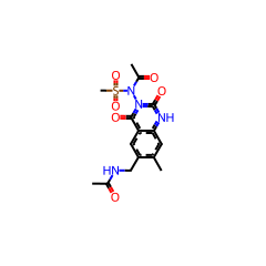 CC(=O)NCc1cc2c(=O)n(N(C(C)=O)S(C)(=O)=O)c(=O)[nH]c2cc1C